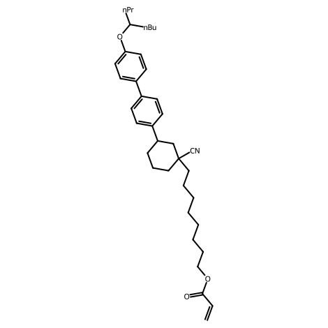 C=CC(=O)OCCCCCCCCC1(C#N)CCCC(c2ccc(-c3ccc(OC(CCC)CCCC)cc3)cc2)C1